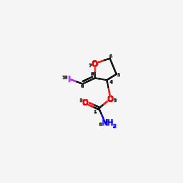 NC(=O)OC1CCOC1=CI